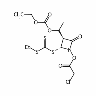 CCSC(=S)S[C@@H]1[C@@H](C(C)OC(=O)OCC(Cl)(Cl)Cl)C(=O)N1OC(=O)CCl